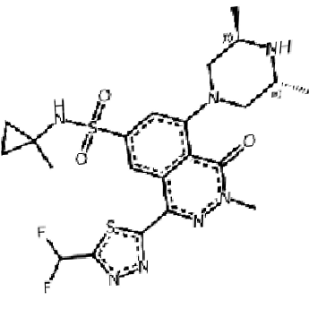 C[C@@H]1CN(c2cc(S(=O)(=O)NC3(C)CC3)cc3c(-c4nnc(C(F)F)s4)nn(C)c(=O)c23)C[C@@H](C)N1